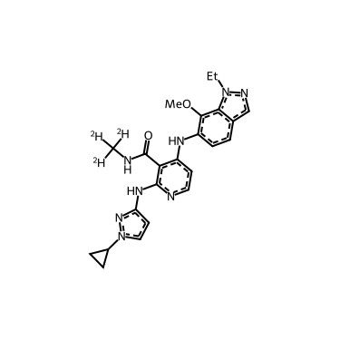 [2H]C([2H])([2H])NC(=O)c1c(Nc2ccc3cnn(CC)c3c2OC)ccnc1Nc1ccn(C2CC2)n1